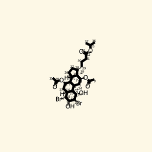 CC(=O)O[C@H]1CC2C([C@H](OC(C)=O)C[C@@H]3[C@@H](Br)[C@H](O)[C@H](Br)[C@@H](O)[C@]23C)[C@@H]2CC[C@H](CCCC(=O)OC(C)C)[C@@]12C